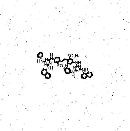 O=S(=O)(O)c1cc(Nc2nc(Nc3ccccc3)nc(Nc3cccc4ccccc34)n2)ccc1C=Cc1ccc(Nc2nc(Nc3ccccc3)nc(Nc3cccc4ccccc34)n2)cc1S(=O)(=O)O